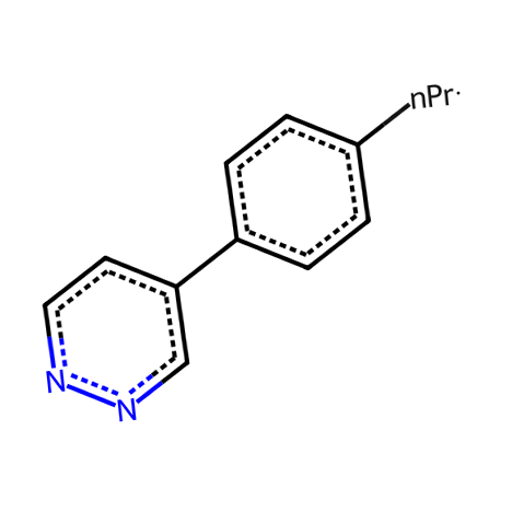 CC[CH]c1ccc(-c2ccnnc2)cc1